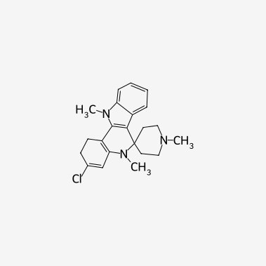 CN1CCC2(CC1)c1c(n(C)c3ccccc13)C1=C(C=C(Cl)CC1)N2C